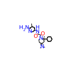 Cc1cc(NC(=O)C(=O)N2CC[C@@H](N(C)C)C[C@@]2(C)c2ccccc2)cnc1N